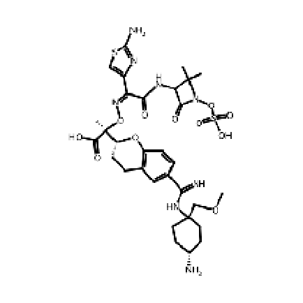 COC[C@]1(NC(=N)c2ccc3c(c2)CC[C@H]([C@](C)(O/N=C(\C(=O)N[C@@H]2C(=O)N(OS(=O)(=O)O)C2(C)C)c2csc(N)n2)C(=O)O)O3)CC[C@@H](N)CC1